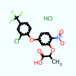 CC(Oc1cc(Oc2ccc(C(F)(F)F)cc2Cl)ccc1[N+](=O)[O-])C(=O)O.Cl